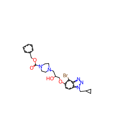 O=C(OCc1ccccc1)N1CCN(CC(O)COc2ccc3c(nnn3CC3CC3)c2Br)CC1